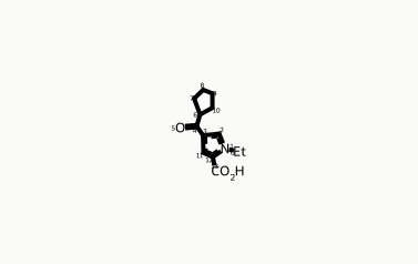 CCn1cc(C(=O)C2CCCC2)cc1C(=O)O